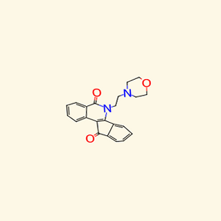 O=C1c2ccccc2-c2c1c1ccccc1c(=O)n2CCN1CCOCC1